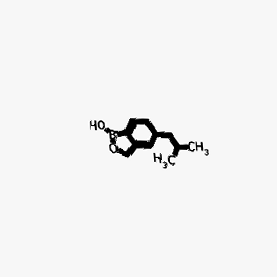 CC(C)CC1C=C2COB(O)C2=CC1